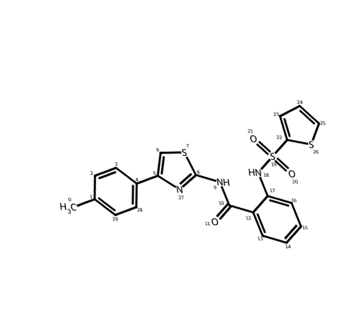 Cc1ccc(-c2csc(NC(=O)c3ccccc3NS(=O)(=O)c3cccs3)n2)cc1